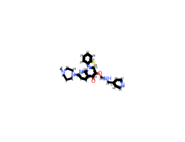 CN1CCCN(c2ccc3c(=O)c(OCNCc4ccncc4)c4sc5ccccc5n4c3n2)CC1